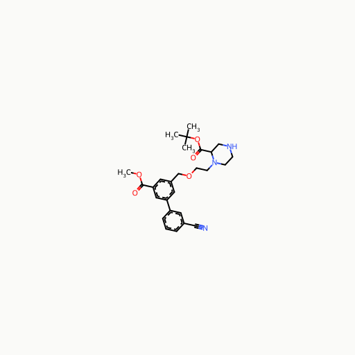 COC(=O)c1cc(COCCN2CCNCC2C(=O)OC(C)(C)C)cc(-c2cccc(C#N)c2)c1